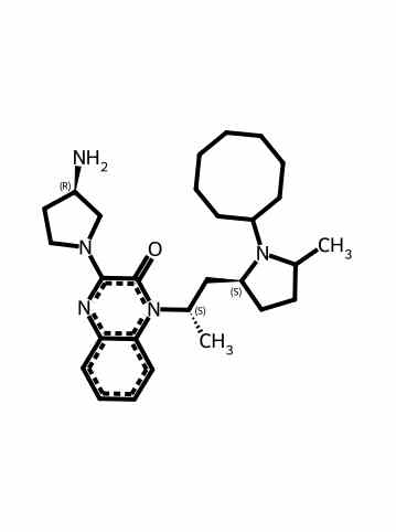 CC1CC[C@@H](C[C@H](C)n2c(=O)c(N3CC[C@@H](N)C3)nc3ccccc32)N1C1CCCCCCC1